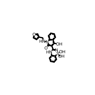 O=c1c(C2=NS(O)(O)c3ccccc3N2)c(O)c2ccccc2n1NCc1ccoc1